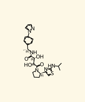 CC(C)Nc1nc([C@H]2CCCN2C(=O)[C@H](O)[C@@H](O)C(=O)N[C@H](C)c2ccc(-n3cccn3)cc2)cs1